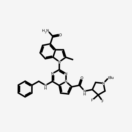 Cc1cc2c(C(N)=O)cccc2n1-c1nc(NCc2ccccc2)c2ccc(C(=O)NC3CN(C(C)(C)C)CC3(F)F)n2n1